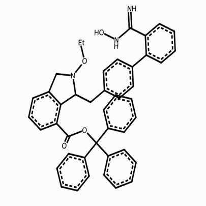 CCON1Cc2cccc(C(=O)OC(c3ccccc3)(c3ccccc3)c3ccccc3)c2C1Cc1ccc(-c2ccccc2C(=N)NO)cc1